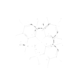 Cc1cc([Si](C)(C)C)c([Si](Cl)(c2c([Si](C)(C)C)cc(C)c(C)c2[Si](C)(C)C)c2c([Si](C)(C)C)cc(C)c(C)c2[Si](C)(C)C)c([Si](C)(C)C)c1C